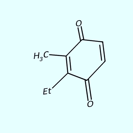 CCC1=C(C)C(=O)C=CC1=O